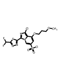 COCCCOc1cc(S(=O)(=O)Cl)cn2c(-c3nnc(C(F)F)s3)nc(Cl)c12